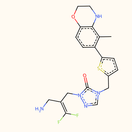 Cc1c(-c2ccc(Cn3cnn(CC(CN)=C(F)F)c3=O)s2)ccc2c1NCCO2